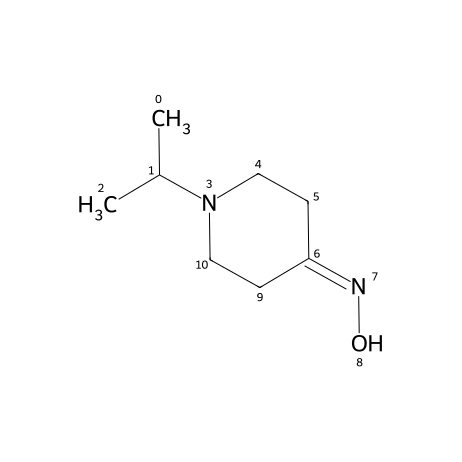 CC(C)N1CCC(=NO)CC1